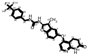 C[C@H]1c2cc(Oc3ccnc4c3CCC(=O)N4)ccc2O[C@H]1NC(=O)NCc1ccc(C(F)(F)F)cc1